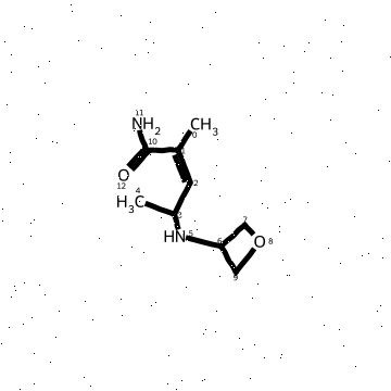 CC(=CC(C)NC1COC1)C(N)=O